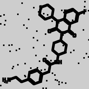 NCCc1ccc(CC(=O)NC2CCC(n3c(=O)c4cc(F)cnc4n(C4CCSCC4)c3=O)CC2)cc1